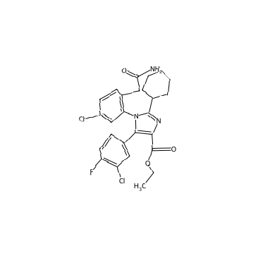 CCOC(=O)c1nc(C2CCCCC2)n(-c2cc(Cl)ccc2CC(N)=O)c1-c1ccc(F)c(Cl)c1